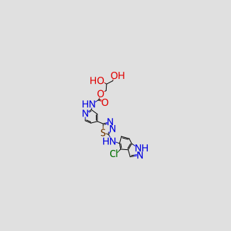 O=C(Nc1cc(-c2nnc(Nc3ccc4[nH]ncc4c3Cl)s2)ccn1)OCC(O)CO